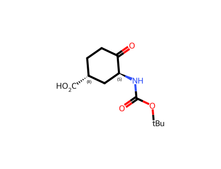 CC(C)(C)OC(=O)N[C@H]1C[C@H](C(=O)O)CCC1=O